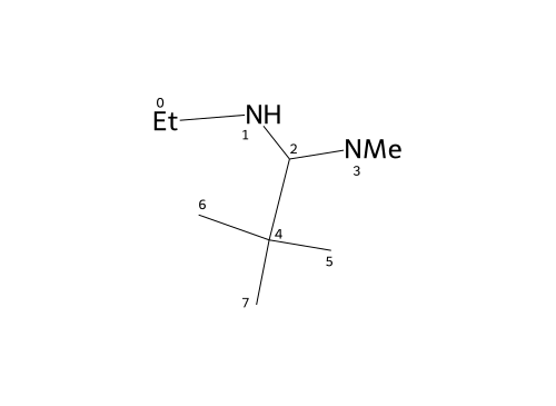 CCNC(NC)C(C)(C)C